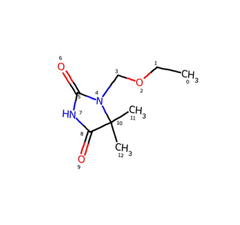 CCOCN1C(=O)NC(=O)C1(C)C